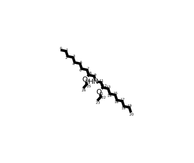 CCCCCCCCC(CNCC(CCCCCCCC)OCC)OCC